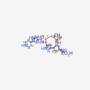 C[C@@H]1CCC[C@H](NC(=O)C2=CN(C3CCNCC3)NN2)c2nc(c[nH]2)-c2ccc(NC(=O)O)cc2NC1=O